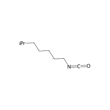 CC(C)CCC[CH]CN=C=O